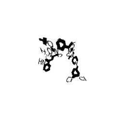 CC(=O)N(Sc1nc(-c2cccc(N(C(=O)OC(C)(C)C)C(=O)[C@@H](N)Cc3c[nH]c4ccccc34)c2)cs1)C1CCN(Cc2ccc(Cl)c(Cl)c2)CC1